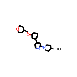 O=CC1CCN(c2cc(-c3cccc(OCC4CCOCC4)c3)ccn2)CC1